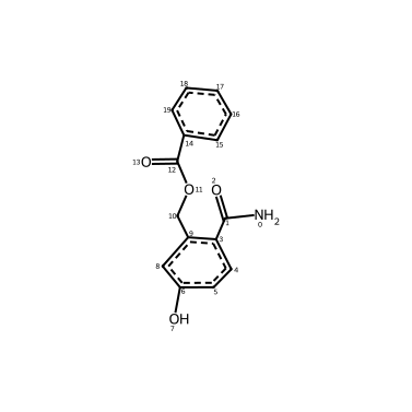 NC(=O)c1ccc(O)cc1COC(=O)c1ccccc1